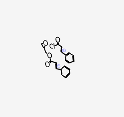 O=C(/C=C/c1ccccc1)OCC1CO1.O=C(Cl)/C=C/c1ccccc1